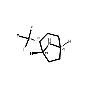 FC(F)(F)[C@@H]1CC[C@H]2CC[C@H]1N2